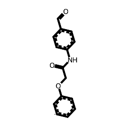 O=Cc1ccc(NC(=O)COc2c[c]ccc2)cc1